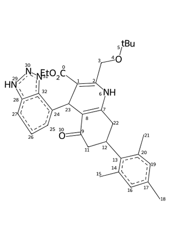 CCOC(=O)C1=C(COC(C)(C)C)NC2=C(C(=O)CC(c3c(C)cc(C)cc3C)C2)C1c1cccc2[nH]nnc12